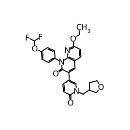 CCOc1ccc2cc(-c3ccc(=O)n(CC4CCOC4)c3)c(=O)n(-c3ccc(OC(F)F)cc3)c2n1